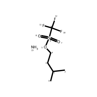 CC(C)CCOS(=O)(=O)C(F)(F)F.N